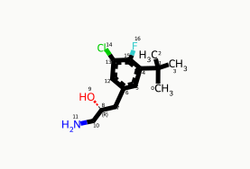 CC(C)(C)c1cc(C[C@@H](O)CN)cc(Cl)c1F